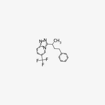 CC(CCc1ccccc1)c1nnc2ccc(C(F)(F)F)cn12